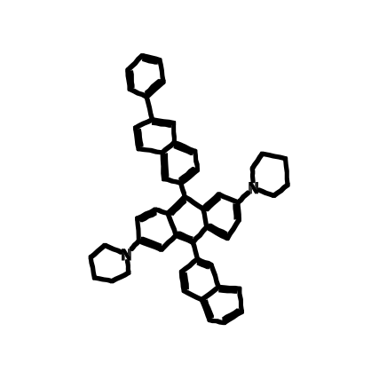 c1ccc(-c2ccc3cc(-c4c5ccc(N6CCCCC6)cc5c(-c5ccc6ccccc6c5)c5ccc(N6CCCCC6)cc45)ccc3c2)cc1